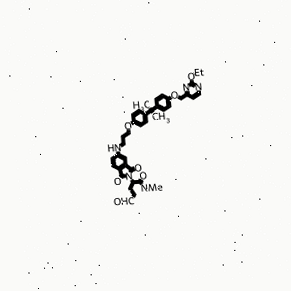 CCOc1nccc(COc2ccc(C(C)(C)c3ccc(OCCCNc4ccc5c(c4)C(=O)N(C(CCC=O)C(=O)NC)C5=O)cc3)cc2)n1